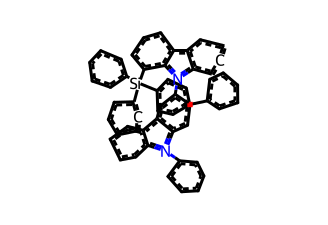 c1ccc(-c2cc3c(cc2-n2c4ccccc4c4cccc([Si](c5ccccc5)(c5ccccc5)c5ccccc5)c42)c2ccccc2n3-c2ccccc2)cc1